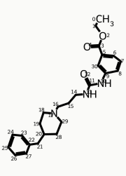 CCOC(=O)c1cccc(NC(=O)NCCCN2CCC(Cc3ccccc3)CC2)c1